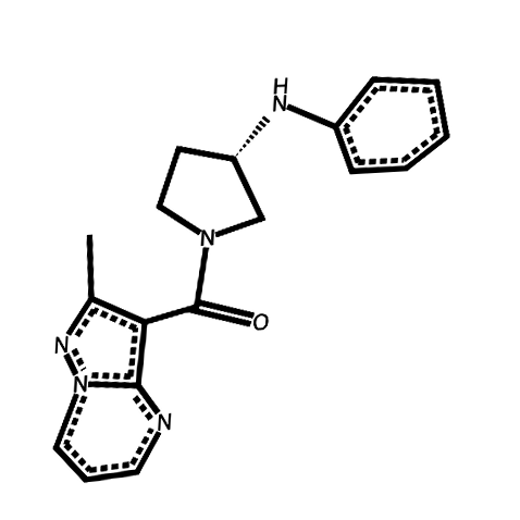 Cc1nn2cccnc2c1C(=O)N1CC[C@H](Nc2ccccc2)C1